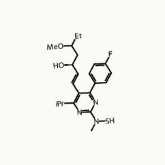 CCC(C[C@H](O)/C=C/c1c(-c2ccc(F)cc2)nc(N(C)S)nc1C(C)C)OC